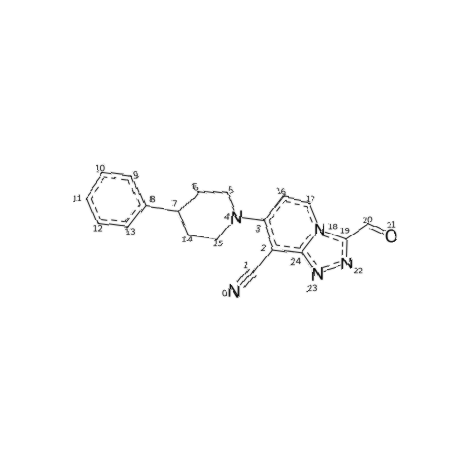 N#Cc1c(N2CCC(c3ccccc3)CC2)ccn2c(C=O)nnc12